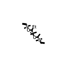 C=C[Si](C)(C)OC(CC)[Si](C)(C)OC(C)[Si](C)(C)C=C